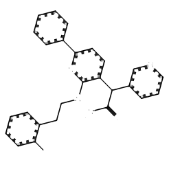 NC(=O)C(c1cccnc1)c1ccc(-c2ccccc2)nc1NCCc1ccccc1Cl